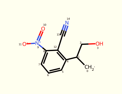 [CH2]C(CO)c1cccc([N+](=O)[O-])c1C#N